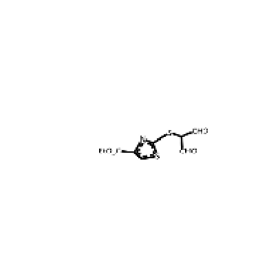 CCOC(=O)c1csc(SC(C=O)C=O)n1